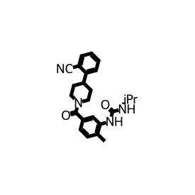 Cc1ccc(C(=O)N2CCC(c3ccccc3C#N)CC2)cc1NC(=O)NC(C)C